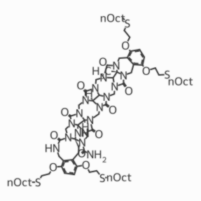 CCCCCCCCSCCOc1ccc(OCCSCCCCCCCC)c2c1CC[C@]13N[C@]45[C@H]6N(CN7C(=O)N8CN9C(=O)N%10Cc%11c(OCCSCCCCCCCC)ccc(OCCSCCCCCCCC)c%11CN%11C(=O)N(CN%12C(=O)N(CN6C(=O)N4CN1C(=O)NC2)[C@@H]7C8%12)C9[C@@]%10%11C)C(=O)N5CN3C(N)=O